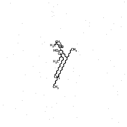 CCCCCCCCCCCCCCCCCC(CCCCC)CCN(CC(CO)[PH](=O)CCN(C)C)C(=O)C(CCC)CCCCCCCCCCCC